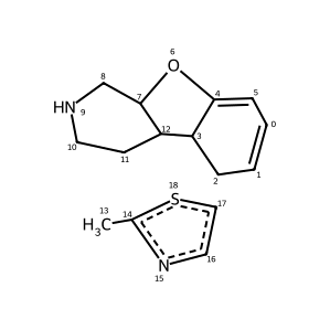 C1=CCC2C(=C1)OC1CNCCC12.Cc1nccs1